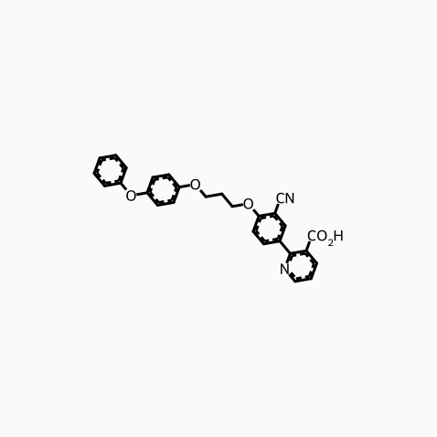 N#Cc1cc(-c2ncccc2C(=O)O)ccc1OCCCOc1ccc(Oc2ccccc2)cc1